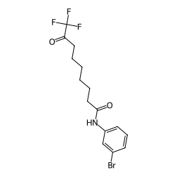 O=C(CCCCCCC(=O)C(F)(F)F)Nc1cccc(Br)c1